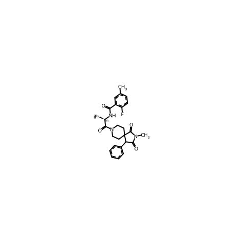 Cc1ccc(F)c(C(=O)N[C@@H](C(=O)N2CCC3(CC2)C(=O)N(C)C(=O)C3c2ccccc2)C(C)C)c1